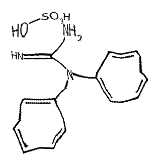 N=C(N)N(c1ccccc1)c1ccccc1.O=S(=O)(O)O